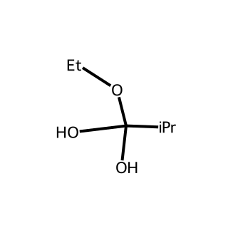 CCOC(O)(O)C(C)C